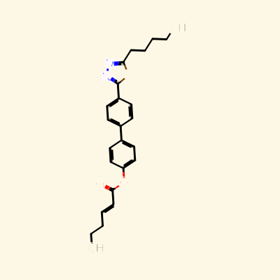 CCC/C=C/C(=O)Oc1ccc(-c2ccc(-c3nnc(CCCCC)s3)cc2)cc1